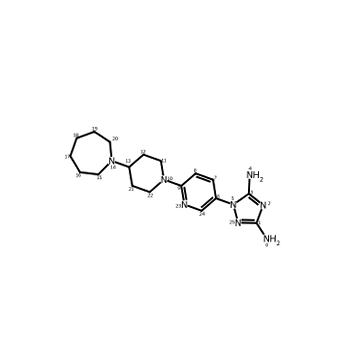 Nc1nc(N)n(-c2ccc(N3CCC(N4CCCCCC4)CC3)nc2)n1